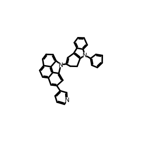 C1=C(n2c3cccc4ccc5cc(-c6cccnc6)cc2c5c43)CCc2c1c1ccccc1n2-c1ccccc1